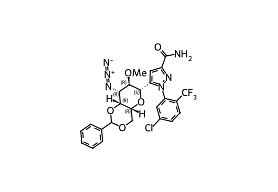 CO[C@@H]1[C@@H](N=[N+]=[N-])[C@H]2OC(c3ccccc3)OC[C@H]2O[C@H]1c1cc(C(N)=O)nn1-c1cc(Cl)ccc1C(F)(F)F